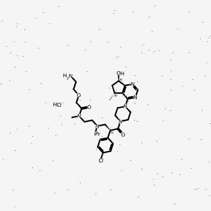 CC(C)N(CCN(C)C(=O)COCCN)C[C@@H](C(=O)N1CCN(c2ncnc3c2[C@H](C)C[C@H]3O)CC1)c1ccc(Cl)cc1.Cl